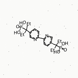 CCC(CC)(c1ccc(-c2ccc(C(CC)(CC)P(=O)(O)O)cn2)nc1)P(=O)(O)O